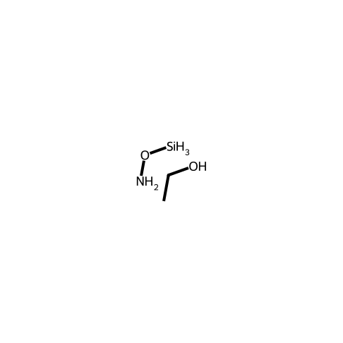 CCO.NO[SiH3]